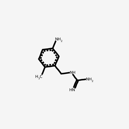 Cc1ccc(N)cc1CNC(=N)N